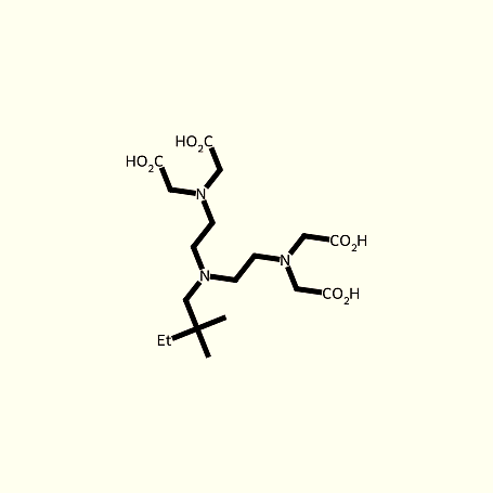 CCC(C)(C)CN(CCN(CC(=O)O)CC(=O)O)CCN(CC(=O)O)CC(=O)O